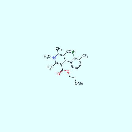 COCCOC(=O)C1=C(C)N(C)C(C)=C(C(=O)O)C1c1cccc(C(F)(F)F)c1F